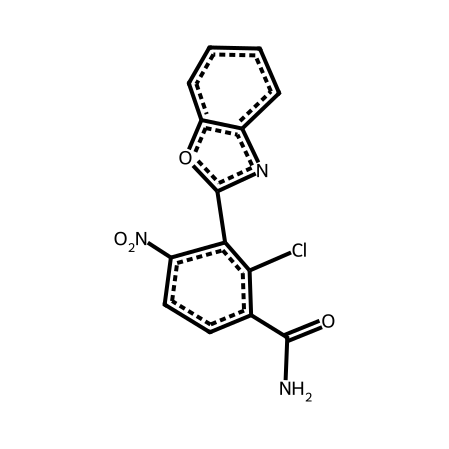 NC(=O)c1ccc([N+](=O)[O-])c(-c2nc3ccccc3o2)c1Cl